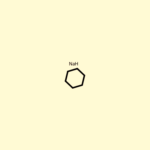 C1CCCCC1.[NaH]